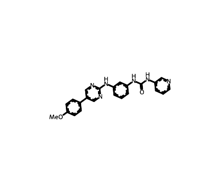 COc1ccc(-c2cnc(Nc3cccc(NC(=O)Nc4cccnc4)c3)nc2)cc1